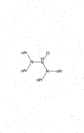 CCCN(CCC)[SiH](Cl)N(CCC)CCC